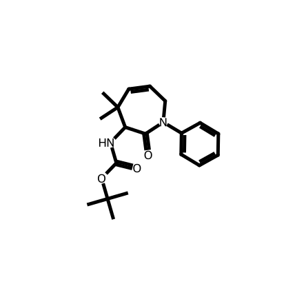 CC(C)(C)OC(=O)NC1C(=O)N(c2ccccc2)CC=CC1(C)C